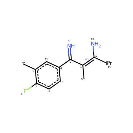 C/C(C(=N)c1ccc(F)c(C)c1)=C(/N)C(C)C